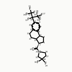 O=C([C@@H]1CCC2c3ccc(C(F)(C(F)(F)F)C(F)(F)F)cc3CCC21)N1CCC(F)(F)C1